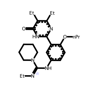 CCCOc1ccc(N/C(=N/CC)N2CCCCC2)cc1-c1nc(CC)c(CC)c(=O)[nH]1